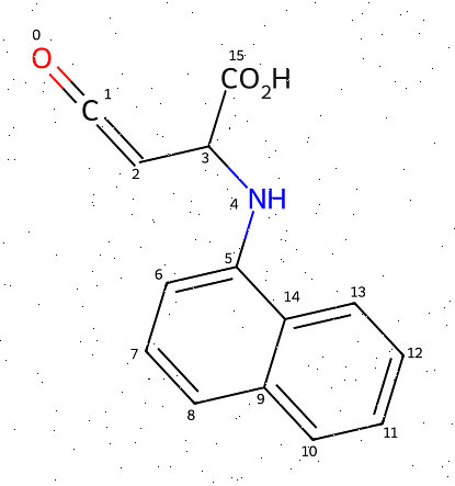 O=C=CC(Nc1cccc2ccccc12)C(=O)O